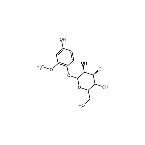 COc1cc(O)ccc1OC1OC(CO)C(O)[C@H](O)[C@@H]1O